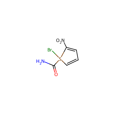 NC(=O)S1(Br)C=CC=C1[N+](=O)[O-]